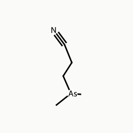 C[As](C)CCC#N